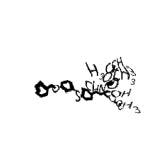 COCOCC(CO)(CCc1ccc(Sc2cccc(OCc3ccccc3)c2)cc1Cl)NC(=O)OC(C)(C)C